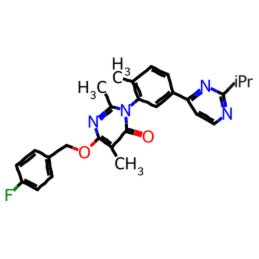 Cc1ccc(-c2ccnc(C(C)C)n2)cc1-n1c(C)nc(OCc2ccc(F)cc2)c(C)c1=O